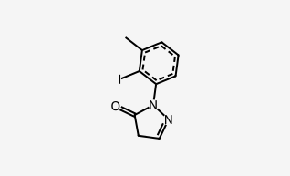 Cc1cccc(N2N=CCC2=O)c1I